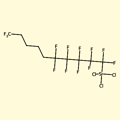 FC(F)(F)CCCCC(F)(F)C(F)(F)C(F)(F)C(F)(F)C(F)(F)[Si](Cl)(Cl)Cl